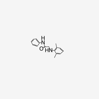 Cc1cccc(C)c1NCC(=O)Nc1ccccc1